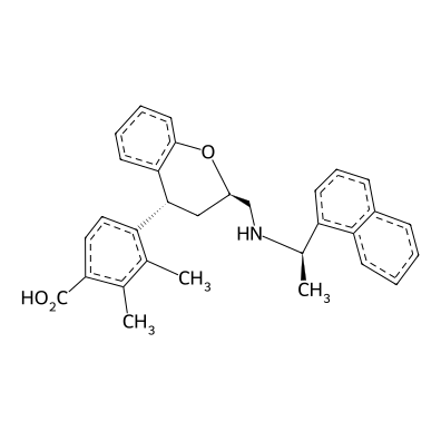 Cc1c(C(=O)O)ccc([C@H]2C[C@H](CN[C@H](C)c3cccc4ccccc34)Oc3ccccc32)c1C